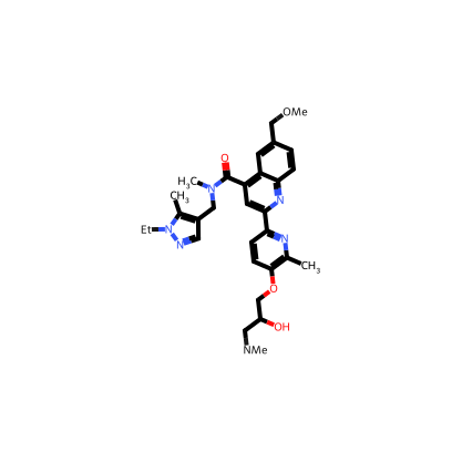 CCn1ncc(CN(C)C(=O)c2cc(-c3ccc(OCC(O)CNC)c(C)n3)nc3ccc(COC)cc23)c1C